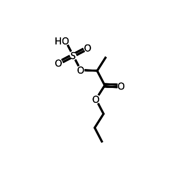 CCCOC(=O)C(C)OS(=O)(=O)O